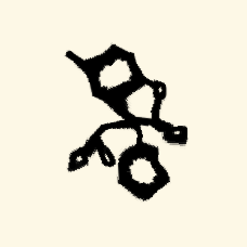 Cc1ccc2c(c1)C(CC(=O)Cl)(c1ccccc1)C(=O)O2